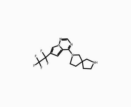 FC(F)(F)C(F)(F)c1cc2c(N3CCC4(CCNC4)C3)ncnn2c1